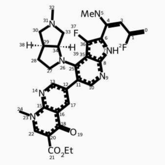 C=C(F)/C=C(/NC)c1[nH]c2ncc(-c3cnc4c(c3)c(=O)c(C(=O)OCC)cn4C)c(N3CC[C@H]4CN(C)C[C@H]43)c2c1F